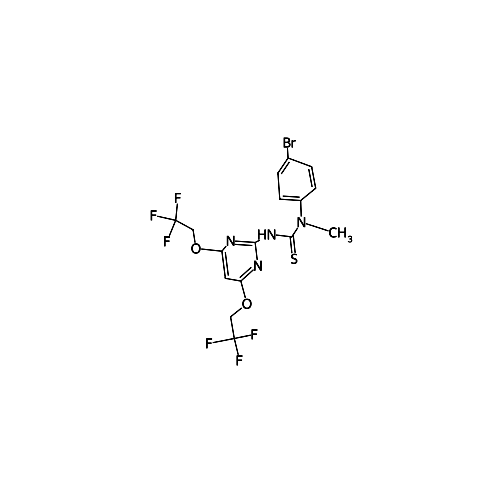 CN(C(=S)Nc1nc(OCC(F)(F)F)cc(OCC(F)(F)F)n1)c1ccc(Br)cc1